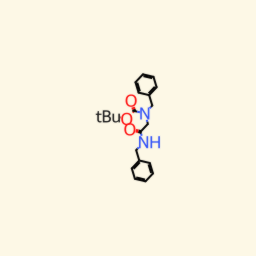 CC(C)(C)OC(=O)N(CC(=O)NCc1ccccc1)Cc1ccccc1